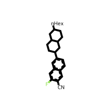 CCCCCCC1CCC2CC(c3ccc4cc(C#N)c(F)cc4c3)CCC2C1